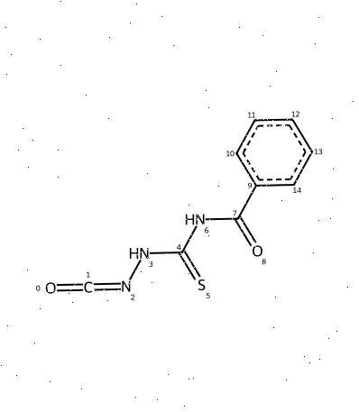 O=C=NNC(=S)NC(=O)c1ccccc1